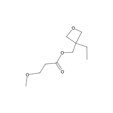 CCC1(COC(=O)CCOC)COC1